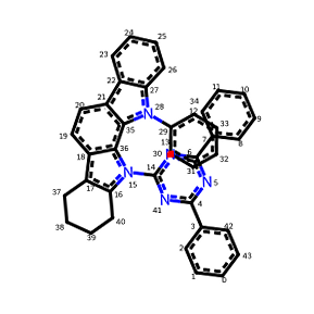 c1ccc(-c2nc(-c3ccccc3)nc(-n3c4c(c5ccc6c7ccccc7n(-c7ccccc7)c6c53)CCCC4)n2)cc1